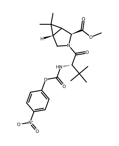 COC(=O)[C@@H]1C2[C@H](CN1C(=O)[C@@H](NC(=O)Oc1ccc([N+](=O)[O-])cc1)C(C)(C)C)C2(C)C